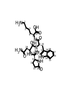 NCCCC[C@H](NC(=O)[C@H](Cc1c[nH]c2ccccc12)NC(=O)[C@H](CC(N)=O)NC(=O)[C@@H]1CCC(=O)N1)C(=O)O